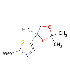 CSc1ncc([C@@]2(C)COC(C)(C)O2)s1